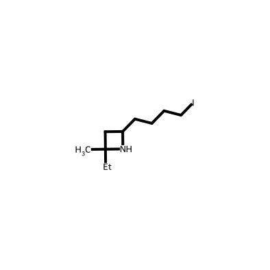 CCC1(C)CC(CCCCI)N1